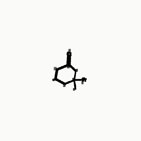 CC(C)C1(C)CCCC(=O)C1